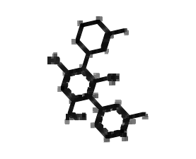 CCCCCc1cc(O)c(C2C=C(C)CCC2)c(O)c1-c1ccnc(C)c1